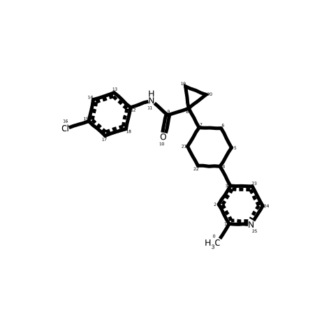 Cc1cc(C2CCC(C3(C(=O)Nc4ccc(Cl)cc4)CC3)CC2)ccn1